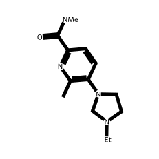 CCN1CCN(c2ccc(C(=O)NC)nc2C)C1